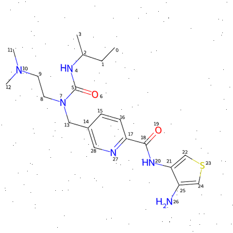 CCC(C)NC(=O)N(CCN(C)C)Cc1ccc(C(=O)Nc2cscc2N)nc1